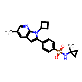 Cc1cnc2c(c1)cc(-c1ccc(S(=O)(=O)NC3(C(F)(F)F)CC3)cc1)n2C1CCC1